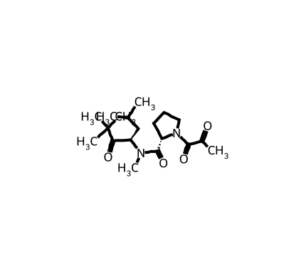 CC(=O)C(=O)N1CCC[C@H]1C(=O)N(C)[C@H](CC(C)C)C(=O)C(C)(C)C